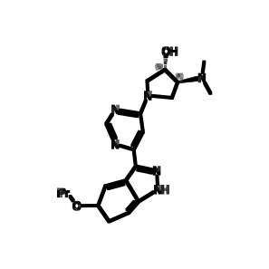 CC(C)OC1C=c2c(-c3cc(N4C[C@H](O)[C@@H](N(C)C)C4)ncn3)n[nH]c2=CC1